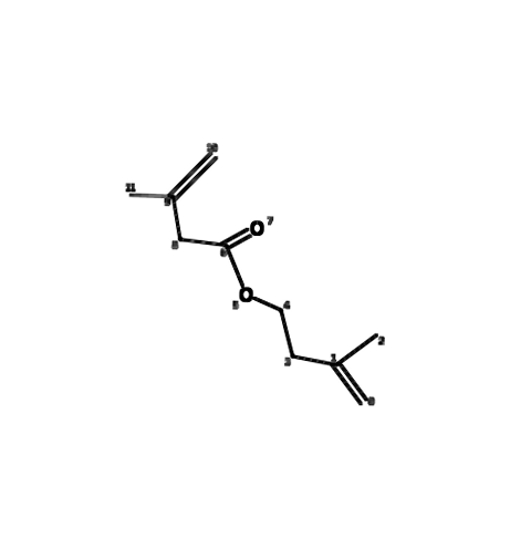 C=C(C)CCOC(=O)CC(=C)C